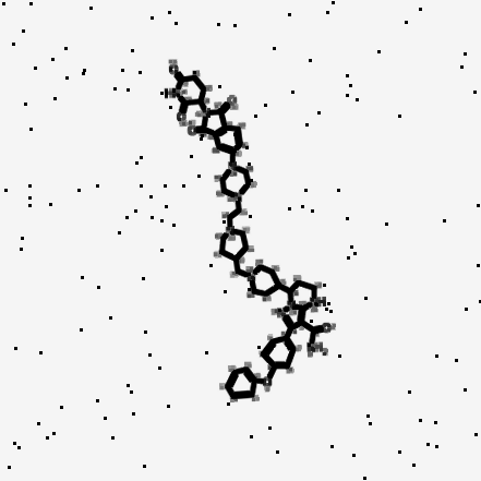 NC(=O)c1c(-c2ccc(Oc3ccccc3)cc2)nn2c1NCCC2C1CCN(CC2CCN(CCN3CCN(c4ccc5c(c4)C(=O)N(C4CCC(=O)NC4=O)C5=O)CC3)CC2)CC1